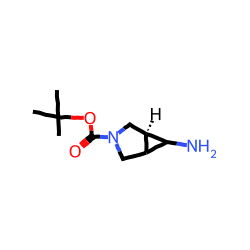 CC(C)(C)OC(=O)N1CC2C(N)[C@@H]2C1